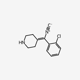 [C-]#[N+]C(=C1CCNCC1)c1ccccc1Cl